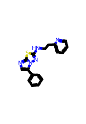 c1ccc(-c2cnc3sc(NCCc4ccccn4)nn23)cc1